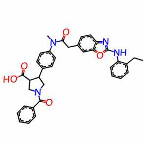 CCc1ccccc1Nc1nc2ccc(CC(=O)N(C)c3ccc(C4CN(C(=O)c5ccccc5)CC4C(=O)O)cc3)cc2o1